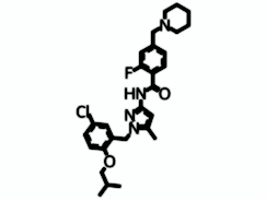 Cc1cc(NC(=O)c2ccc(CN3CCCCC3)cc2F)nn1Cc1cc(Cl)ccc1OCC(C)C